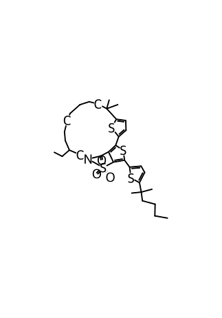 CCCCC(C)(C)c1ccc(-c2sc3c4c2S(=O)(=O)N(CC(CC)CCCCCCCC(C)(C)c2ccc-3s2)C4=O)s1